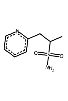 CC(Cc1ccccn1)S(N)(=O)=O